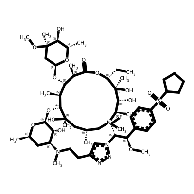 CC[C@H]1OC(=O)[C@H](C)[C@@H](O[C@H]2C[C@@](C)(OC)[C@@H](O)[C@H](C)O2)[C@H](C)[C@@H](O[C@@H]2O[C@H](C)C[C@H](N(C)CCc3cn([C@H](CF)[C@H](OC)c4ccc(S(=O)(=O)C5CCCC5)cc4)nn3)[C@H]2O)[C@](C)(O)C[C@@H](C)CN(C)[C@H](C)[C@@H](O)[C@]1(C)O